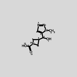 Cn1nncc1C(O)C1CN(C(=O)O)C1